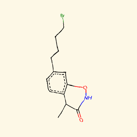 CC1C(=O)NOc2cc(CCCCBr)ccc21